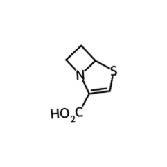 O=C(O)C1=CSC2CCN12